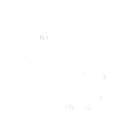 CC(C)NC(=O)c1ccc(C2(C(F)(F)F)NN2)cc1